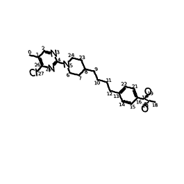 Cc1cnc(N2CCC(CCCCc3ccc(S(C)(=O)=O)cc3)CC2)nc1Cl